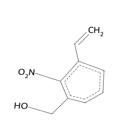 C=Cc1cccc(CO)c1[N+](=O)[O-]